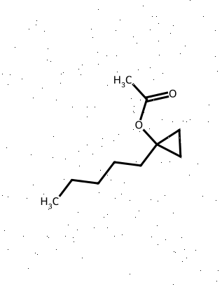 CCCCCC1(OC(C)=O)CC1